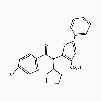 CCOC(=O)c1cc(-c2ccccc2)sc1N(C(=O)c1ccc(Cl)cc1)C1CCCC1